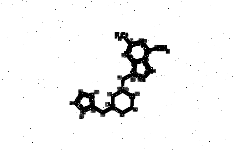 Nc1nc(C(F)(F)F)nc2c1nnn2C[C@H]1CN(Cc2nccs2)CCO1